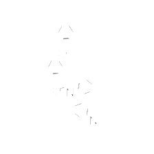 CC(C)c1ccc(N(Cc2ccc(N(C)C)cc2)C(=O)C2CCc3c(OCc4ccccc4)cccc32)cc1